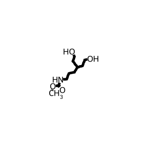 COC(=O)NCCCC(CCO)CCO